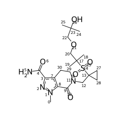 Cn1nc(C(N)=O)c2c1C(=O)N(CC1(S(=O)(=O)C(C)(C)COCC(C)(C)O)CC1)CC2